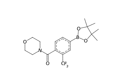 CC1(C)OB(c2ccc(C(=O)N3CCOCC3)c(C(F)(F)F)c2)OC1(C)C